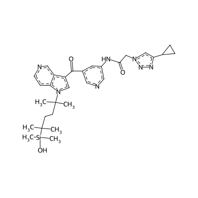 CC(C)(CCC(C)(C)[Si](C)(C)O)n1cc(C(=O)c2cncc(NC(=O)Cn3cc(C4CC4)nn3)c2)c2cnccc21